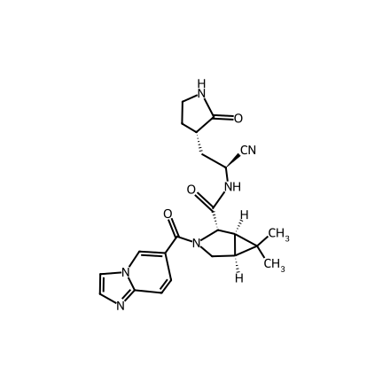 CC1(C)[C@@H]2[C@@H](C(=O)N[C@H](C#N)C[C@@H]3CCNC3=O)N(C(=O)c3ccc4nccn4c3)C[C@@H]21